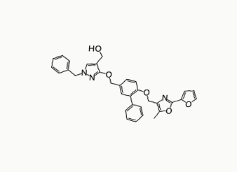 Cc1oc(-c2ccco2)nc1COc1ccc(COc2nn(Cc3ccccc3)cc2CO)cc1-c1ccccc1